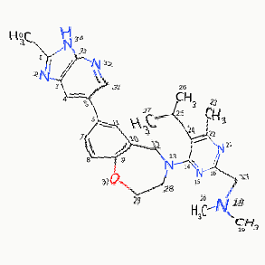 Cc1nc2cc(-c3ccc4c(c3)CN(c3nc(CN(C)C)nc(C)c3C(C)C)CCO4)cnc2[nH]1